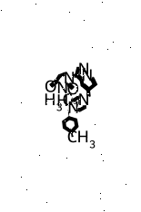 C[C@H]1CN(Cc2ccn3ncc(N4CCC(=O)NC4=O)c3c2)CCN1C[C@H]1CC[C@H](C)CC1